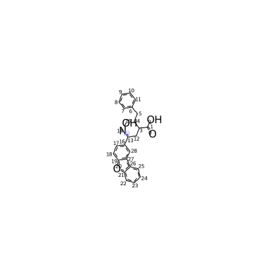 O=C(O)C(CCc1ccccc1)C/C(=N\O)c1ccc2oc3ccccc3c2c1